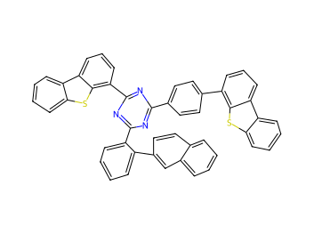 c1ccc(-c2nc(-c3ccc(-c4cccc5c4sc4ccccc45)cc3)nc(-c3cccc4c3sc3ccccc34)n2)c(-c2ccc3ccccc3c2)c1